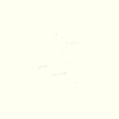 C=C(CCN(C)C)NC=O